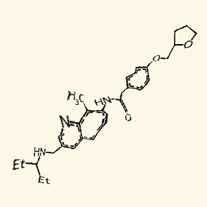 CCC(CC)NCc1cnc2c(C)c(NC(=O)c3ccc(OCC4CCCO4)cc3)ccc2c1